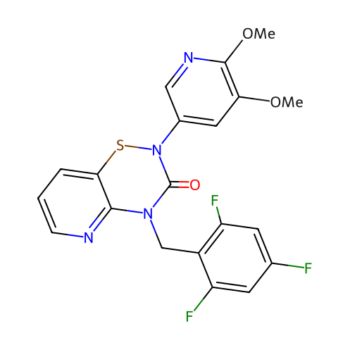 COc1cc(N2Sc3cccnc3N(Cc3c(F)cc(F)cc3F)C2=O)cnc1OC